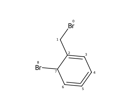 BrCC1=CC=C=CC1Br